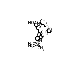 CC[Si](CC)(CC)O[C@@H]1CCC[C@@]2(C)C(C(C)CCC[C@@H](CC(=O)O)c3nc(C)c(CCOC4CCCCO4)s3)CC[C@H]12